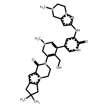 CN1C=C(c2c[nH]c(=O)c(Nc3cc4n(n3)CCN(C)C4)c2)C(CO)=C(N2CCn3c(cc4c3CC(C)(C)C4)C2=O)C1